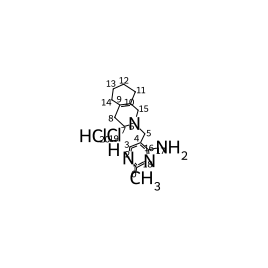 Cc1ncc(CN2CCC3=C(CCCC3)C2)c(N)n1.Cl.Cl